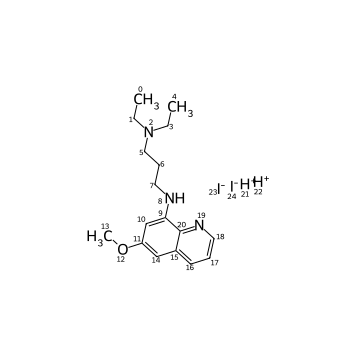 CCN(CC)CCCNc1cc(OC)cc2cccnc12.[H+].[H+].[I-].[I-]